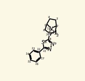 CN1C2CCC1CN(c1nnc(-c3ccccc3)s1)C2